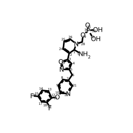 NC1C(c2cc(Cc3ccc(Oc4ccc(F)cc4F)nc3)no2)=CC=CN1COP(=O)(O)O